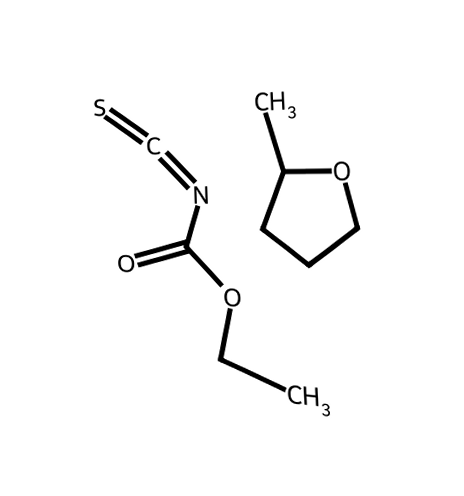 CC1CCCO1.CCOC(=O)N=C=S